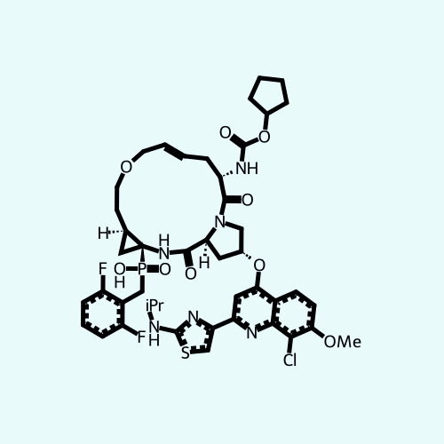 COc1ccc2c(O[C@@H]3C[C@H]4C(=O)N[C@]5(P(=O)(O)Cc6c(F)cccc6F)C[C@H]5CCOC/C=C/C[C@H](NC(=O)OC5CCCC5)C(=O)N4C3)cc(-c3csc(NC(C)C)n3)nc2c1Cl